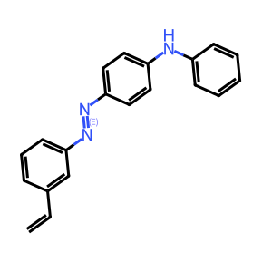 C=Cc1cccc(/N=N/c2ccc(Nc3ccccc3)cc2)c1